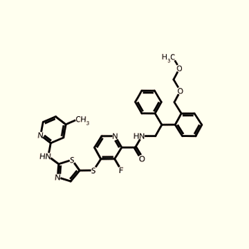 COCOCc1ccccc1C(CNC(=O)c1nccc(Sc2cnc(Nc3cc(C)ccn3)s2)c1F)c1ccccc1